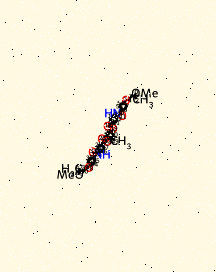 COC(C)CCOc1ccc(C(=O)Nc2ccc(C(=O)Oc3ccc(OC(=O)c4ccc(NC(=O)c5ccc(OCCC(C)OC)cc5)cc4)c(C)c3)cc2)cc1